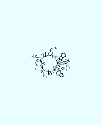 C=CC(C)(C)n1cc(C[C@@H]2NC(=O)[C@H](CCCC)NC(=O)[C@H](CC(C)C)N3CC/C=C\C[C@@H](C3=O)N(C)C(=O)[C@H](C)NC(=O)C(Cc3cnc4occc4c3)NC(=O)[C@H](CC(C)C)N(C)C2=O)c2ccccc21